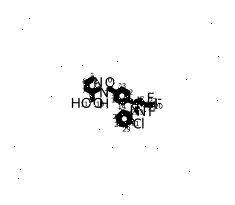 O=C(Nc1ncccc1C(=O)O)c1ccc(-c2cc(C(F)(F)F)nn2-c2ccccc2Cl)cc1